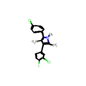 N#Cn1c(-c2ccc(Cl)cc2)c([N+](=O)[O-])c(-c2ccc(Cl)c(Cl)c2)c1C(F)(F)F